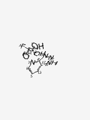 O=P(O)(O)F.c1cnc2nn[nH]c2c1